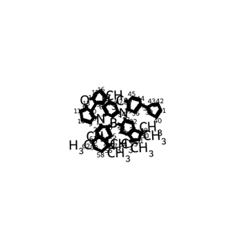 Cc1cc2c3c(c1)N(c1cccc4oc5ccccc5c14)c1cc4c(cc1B3c1cc3c(cc1N2c1cc(-c2ccccc2)ccc1C)C(C)(C)CC3(C)C)C(C)(C)CCC4(C)C